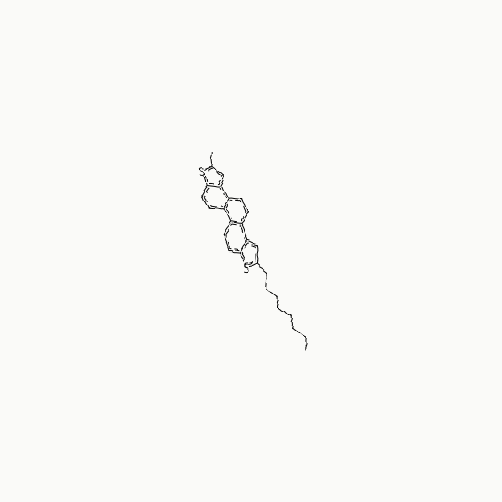 CCCCCCCCc1cc2c(ccc3c2ccc2c4cc(C)sc4ccc23)s1